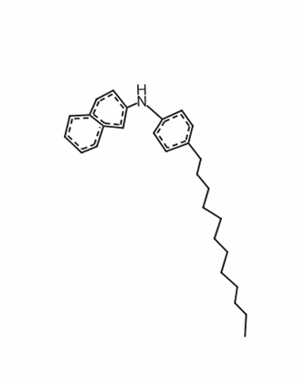 CCCCCCCCCCCCc1ccc(Nc2ccc3ccccc3c2)cc1